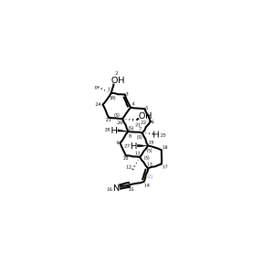 C[C@]1(O)C=C2CC[C@@H]3[C@H](CC[C@]4(C)/C(=C\C#N)CC[C@@H]34)[C@@]2(CO)CC1